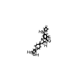 O=c1[nH]c(CSC2CCN(C3CS(O)(O)C3)CC2)nc2cc(NC3CCCC3)cc(F)c12